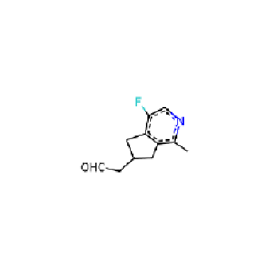 Cc1ncc(F)c2c1CC(CC=O)C2